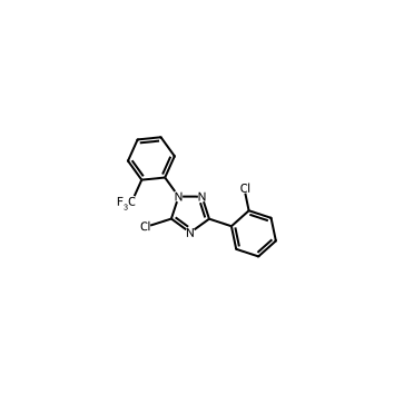 FC(F)(F)c1ccccc1-n1nc(-c2ccccc2Cl)nc1Cl